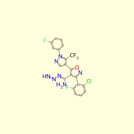 N=N/N=C(\N)c1c(-c2c(F)cccc2Cl)noc1-c1cnn(-c2cccc(F)c2)c1C(F)(F)F